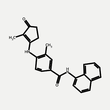 CC1=C(Nc2ccc(C(=O)Nc3cccc4ccccc34)cc2C)CCC1=O